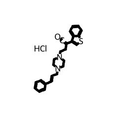 Cl.O=C=C(CCN1CCN(CC=Cc2ccccc2)CC1)c1csc2ccccc12